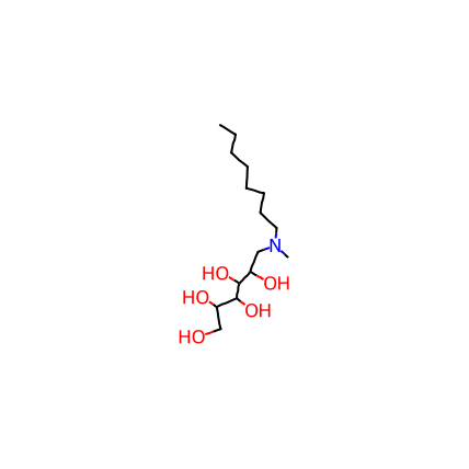 CCCCCCCCN(C)CC(O)C(O)C(O)C(O)CO